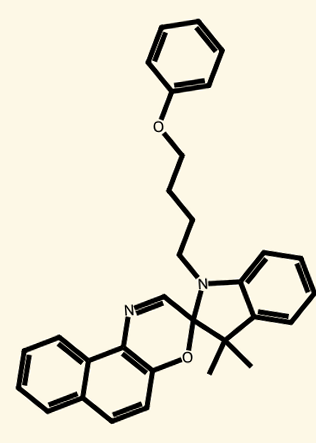 CC1(C)c2ccccc2N(CCCCOc2ccccc2)C12C=Nc1c(ccc3ccccc13)O2